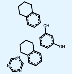 Oc1cccc(O)c1.c1ccc2c(c1)CCCC2.c1ccc2c(c1)CCCC2.c1ncncn1